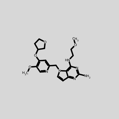 COCCNc1nc(N)nc2ccn(Cc3cc(OC4CCOC4)c(OC)cn3)c12